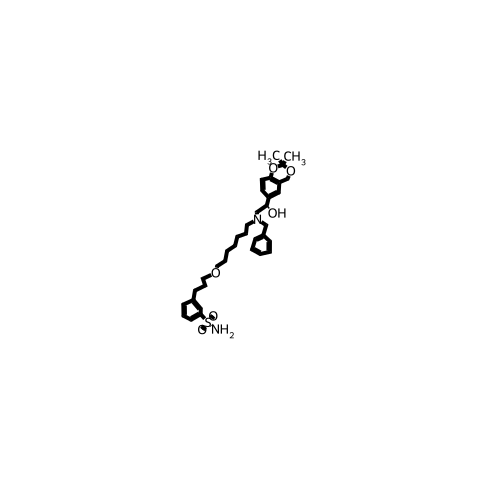 CC1(C)OCc2cc([C@H](O)CN(CCCCCCCOCCCc3cccc(S(N)(=O)=O)c3)Cc3ccccc3)ccc2O1